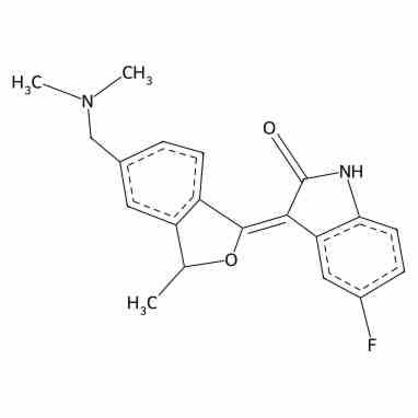 CC1OC(=C2C(=O)Nc3ccc(F)cc32)c2ccc(CN(C)C)cc21